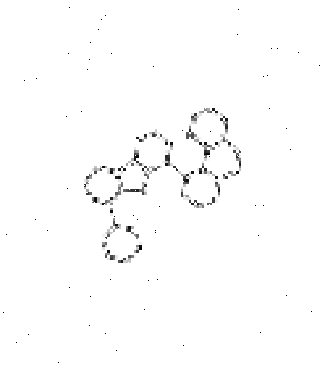 c1ccc(-c2cccc3c2sc2c(-c4cccc5ccc6cccnc6c45)cccc23)cc1